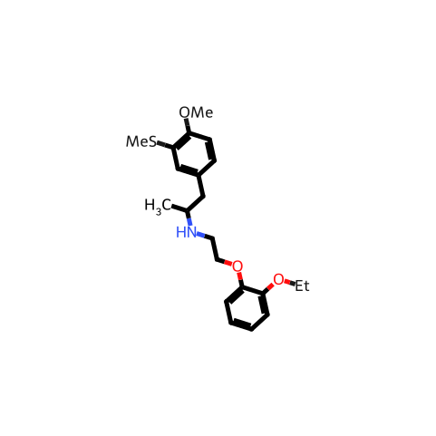 CCOc1ccccc1OCCNC(C)Cc1ccc(OC)c(SC)c1